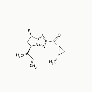 C=CC(=C)[C@H]1C[C@@H](F)c2nc(C(=O)[C@@H]3C[C@@H]3C)nn21